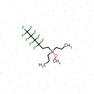 CCC[Si](CCC)(CCC(F)(F)C(F)(F)C(F)(F)C(F)(F)F)OC